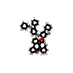 c1ccc(-n2c3ccccc3c3cc(N(c4ccc5c(c4)C4(c6ccccc6Sc6ccccc64)c4cccc6cccc-5c46)c4ccc5sc6ccccc6c5c4)ccc32)cc1